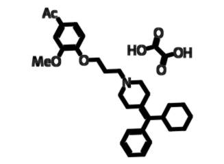 COc1cc(C(C)=O)ccc1OCCCN1CCC(=C(c2ccccc2)C2CCCCC2)CC1.O=C(O)C(=O)O